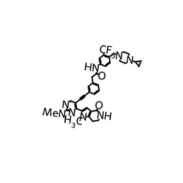 CNc1ncc(C#Cc2cccc(CC(=O)Nc3ccc(CN4CCN(C5CC5)CC4)c(C(F)(F)F)c3)c2)c(-c2cc3c(n2C)CCNC3=O)n1